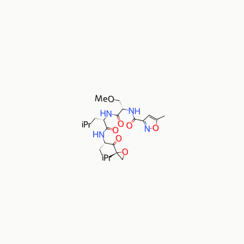 COC[C@H](NC(=O)c1cc(C)on1)C(=O)N[C@@H](CC(C)C)C(=O)N[C@@H](CC(C)C)C(=O)[C@@]1(C)CO1